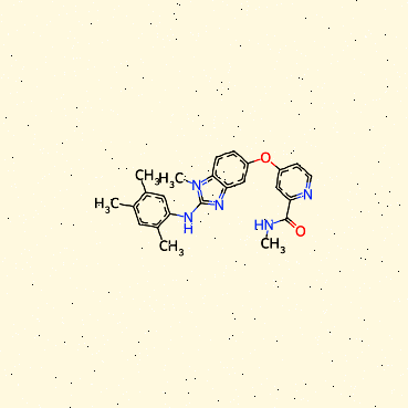 CNC(=O)c1cc(Oc2ccc3c(c2)nc(Nc2cc(C)c(C)cc2C)n3C)ccn1